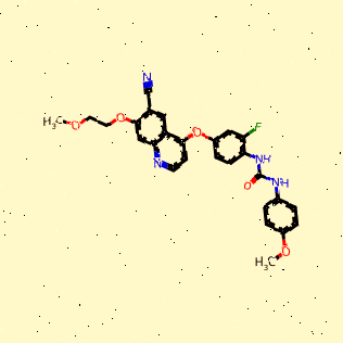 COCCOc1cc2nccc(Oc3ccc(NC(=O)Nc4ccc(OC)cc4)c(F)c3)c2cc1C#N